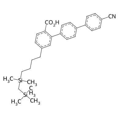 C[Si](C)(C)C[Si](C)(C)CCCCc1ccc(C(=O)O)c(-c2ccc(-c3ccc(C#N)cc3)cc2)c1